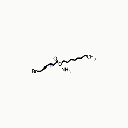 CCCCCCCCOC(=O)/C=C/C#CCBr.N